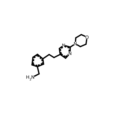 NCc1cccc(CCc2cnc(N3CCOCC3)nc2)c1